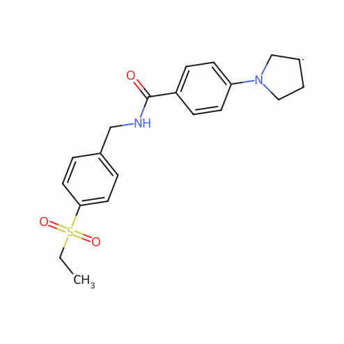 CCS(=O)(=O)c1ccc(CNC(=O)c2ccc(N3C[CH]CC3)cc2)cc1